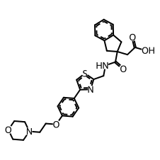 O=C(O)CC1(C(=O)NCc2nc(-c3ccc(OCCN4CCOCC4)cc3)cs2)Cc2ccccc2C1